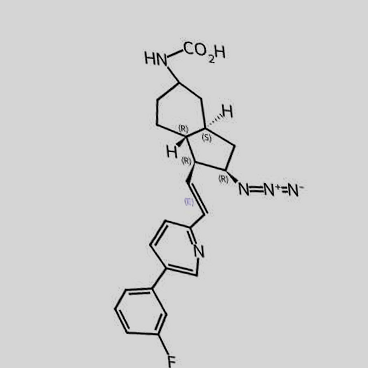 [N-]=[N+]=N[C@@H]1C[C@@H]2CC(NC(=O)O)CC[C@H]2[C@@H]1/C=C/c1ccc(-c2cccc(F)c2)cn1